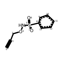 C#CCONS(=O)(=O)c1ccccc1